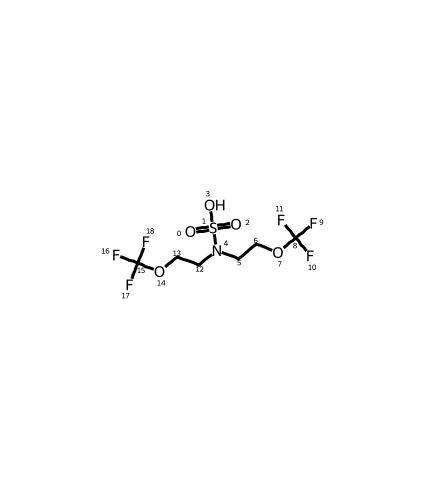 O=S(=O)(O)N(CCOC(F)(F)F)CCOC(F)(F)F